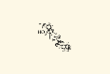 O=C(O)N[C@H](CCC(=O)NNC(=O)c1ccc2cnccc2c1)Cc1ccc(C(F)(F)F)cc1